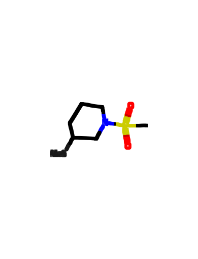 CSC1CCCN(S(C)(=O)=O)C1